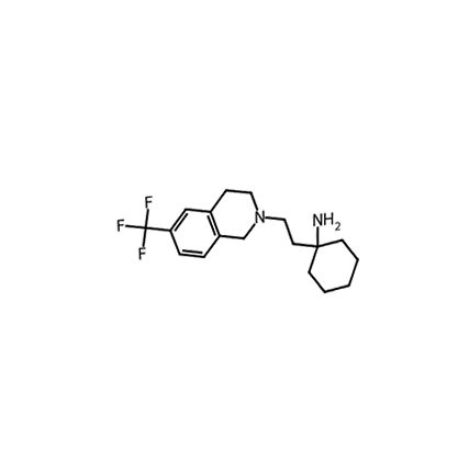 NC1(CCN2CCc3cc(C(F)(F)F)ccc3C2)CCCCC1